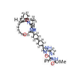 COC(=O)N[C@H](C(=O)N1CCC[C@H]1c1ncc(-c2ccc(-c3ccc(-c4nc5[nH]c4COCCCCCC[C@@](C)(c4ccccc4)C(=O)N4CC6(CC6)C[C@@H]54)cc3)cc2)[nH]1)C(C)C